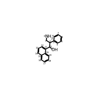 NCC(c1ccccc1)C(O)c1cccc2ccccc12